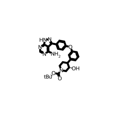 CC(C)(C)OC(=O)N1CCC(c2cccc(Oc3ccc(-c4n[nH]c5ncnc(N)c45)cc3)c2)[C@H](O)C1